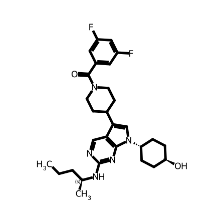 CCC[C@H](C)Nc1ncc2c(C3CCN(C(=O)c4cc(F)cc(F)c4)CC3)cn([C@H]3CC[C@H](O)CC3)c2n1